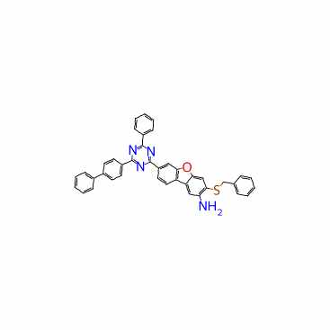 Nc1cc2c(cc1SCc1ccccc1)oc1cc(-c3nc(-c4ccccc4)nc(-c4ccc(-c5ccccc5)cc4)n3)ccc12